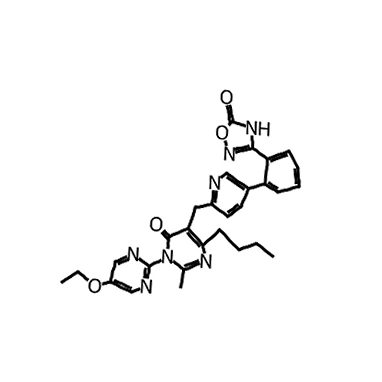 CCCCc1nc(C)n(-c2ncc(OCC)cn2)c(=O)c1Cc1ccc(-c2ccccc2-c2noc(=O)[nH]2)cn1